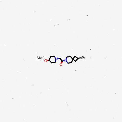 CSOC1CCN(CC(=O)N2CCC3(CC2)CC(C(C)C)C3)CC1